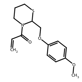 C=CC(=O)N1CCCSC1COc1ccc(OC)cc1